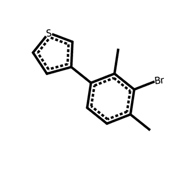 Cc1ccc(-c2ccsc2)c(C)c1Br